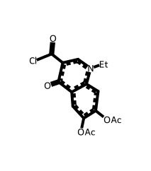 CCn1cc(C(=O)Cl)c(=O)c2cc(OC(C)=O)c(OC(C)=O)cc21